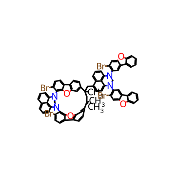 CC1(C)CC(C)(Cc2ccc3c4c(cccc24)N(c2cc4c(cc2Br)oc2ccccc24)CN3c2cc3c(cc2Br)oc2ccccc23)c2ccc3c(c2)oc2c(c(Br)ccc23)N2CN(c3c(Br)ccc4c3oc3cc1ccc34)c1cccc3cccc2c13